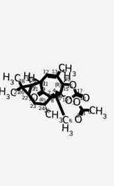 CC(=O)O[C@H]1C(C)=C[C@]23C(=O)[C@@H](C=C(C)[C@H]4OC(=O)O[C@@]412)[C@H]1C(C[C@H]3C)C1(C)C